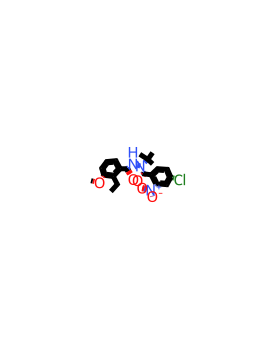 CCc1c(OC)cccc1C(=O)NN(C(=O)c1ccc(Cl)cc1[N+](=O)[O-])C(C)(C)C